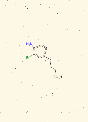 Nc1ccc(CCCC(=O)O)cc1Br